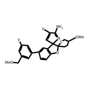 COCc1cc(F)cc(-c2ccc3c(c2)C2(C=C(F)C(N)=N2)C2(CCC(OC)CC2)O3)c1